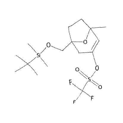 CC12C=C(OS(=O)(=O)C(F)(F)F)CC(CO[Si](C)(C)C(C)(C)C)(CC1)O2